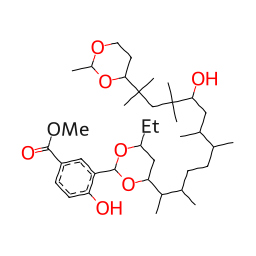 CCC1CC(C(C)C(C)CCC(C)C(C)CC(O)C(C)(C)CC(C)(C)C2CCOC(C)O2)OC(c2cc(C(=O)OC)ccc2O)O1